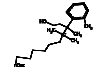 CCCCCCCCCCCCCCCC[N+](C)(C)C(C)(CCO)c1ccccc1C